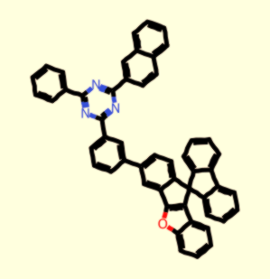 c1ccc(-c2nc(-c3cccc(-c4ccc5c(c4)-c4oc6ccccc6c4C54c5ccccc5-c5ccccc54)c3)nc(-c3ccc4ccccc4c3)n2)cc1